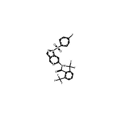 O=C(Nc1cc2c(cn1)cnn2S(=O)(=O)c1ccc(F)cc1)c1c(C(F)(F)F)cccc1C(F)(F)F